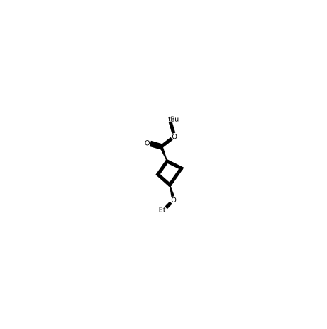 CCO[C@H]1C[C@@H](C(=O)OC(C)(C)C)C1